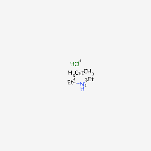 CC.CCNCC.Cl